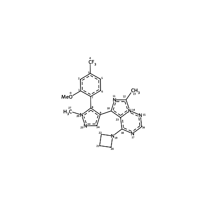 COc1cc(C(F)(F)F)ccc1-c1c(-c2nc(C)n3ncnc(N4CCC4)c23)cnn1C